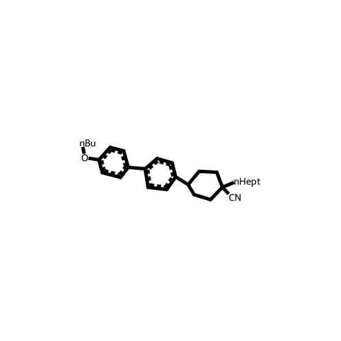 CCCCCCCC1(C#N)CCC(c2ccc(-c3ccc(OCCCC)cc3)cc2)CC1